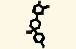 O=c1nc(N2CCC(O)(c3ccc(F)cc3)CC2)nc[nH]1